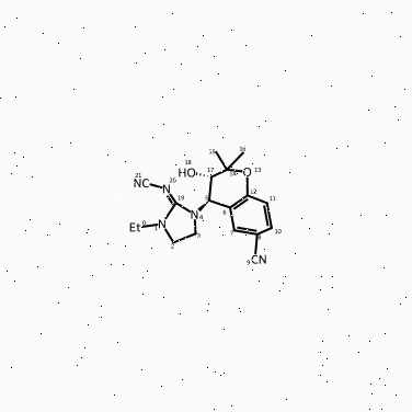 CCN1CCN([C@@H]2c3cc(C#N)ccc3OC(C)(C)[C@H]2O)C1=NC#N